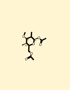 CO[C@H]1C(C)[C@@H](OC(C)=O)OC(COC(C)=O)[C@H]1C